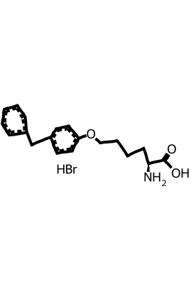 Br.N[C@@H](CCCCOc1ccc(Cc2ccccc2)cc1)C(=O)O